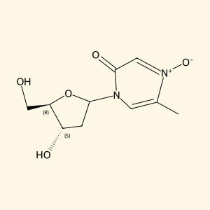 Cc1cn(C2C[C@H](O)[C@@H](CO)O2)c(=O)c[n+]1[O-]